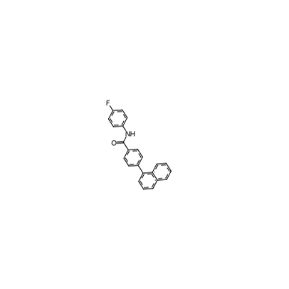 O=C(Nc1ccc(F)cc1)c1ccc(-c2cccc3ccccc23)cc1